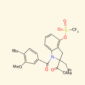 COC(=O)C1(CC(C)C)Cc2c(OS(=O)(=O)C(F)(F)F)cccc2N1C(=O)c1ccc(C(C)(C)C)c(OC)c1